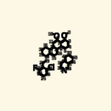 COc1cccc2c1c(OC)cc1c3c(ccc12)[C@H](CCc1c(F)cccc1Cl)CCC3.c1ccc2cnccc2c1